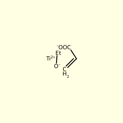 C=CC(=O)[O-].CC[O-].[Ti+2]